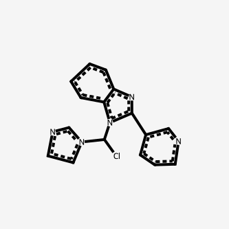 ClC(n1ccnc1)n1c(-c2cccnc2)nc2ccccc21